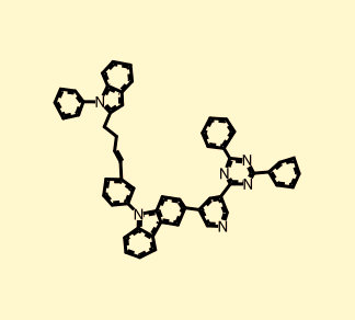 C(=C\c1cccc(-n2c3ccccc3c3cc(-c4cncc(-c5nc(-c6ccccc6)nc(-c6ccccc6)n5)c4)ccc32)c1)/CCc1cc2ccccc2n1-c1ccccc1